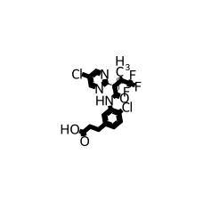 C[C@H]([C@H](C(=O)Nc1cc(CCC(=O)O)ccc1Cl)c1ncc(Cl)cn1)C(F)(F)F